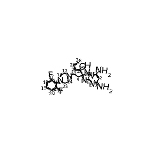 NC1=CC(N)=NC2=NC(CCN3CCN(c4c(F)cccc4F)CC3)(c3ccco3)NN12